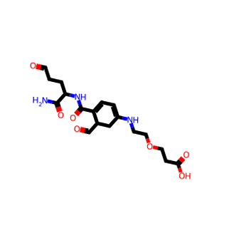 NC(=O)C(CCC=O)NC(=O)C1=CC=C(NCCOCCC(=O)O)CC1C=O